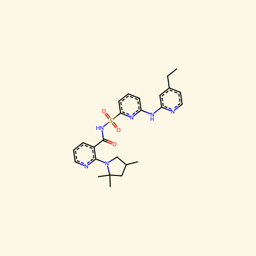 CCc1ccnc(Nc2cccc(S(=O)(=O)NC(=O)c3cccnc3N3CC(C)CC3(C)C)n2)c1